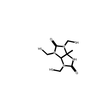 CC12NC(=O)N(CS)C1N(CS)C(=O)N2CS